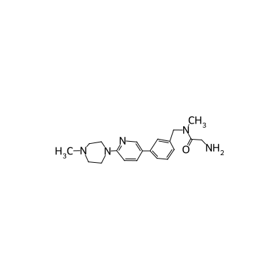 CN1CCN(c2ccc(-c3cccc(CN(C)C(=O)CN)c3)cn2)CC1